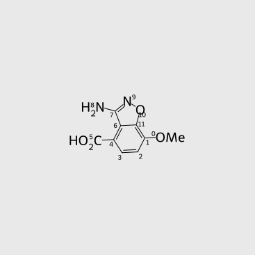 COc1ccc(C(=O)O)c2c(N)noc12